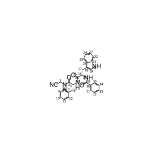 N#CCNC(=O)[C@@H](Cc1ccccc1)NC(=O)[C@H](Cc1c[nH]c2ccccc12)NC(=O)c1ccccc1